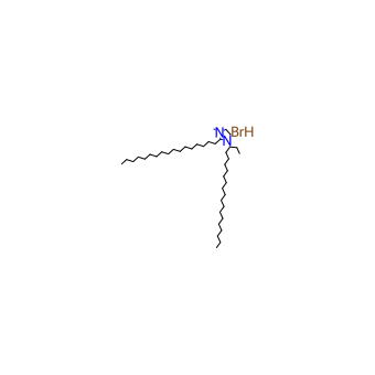 Br.CCCCCCCCCCCCCCCCCC(CC)N1CCN(C)C1CCCCCCCCCCCCCCCCC